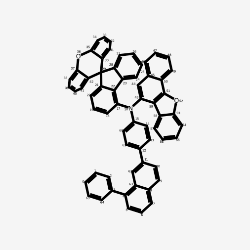 c1ccc(-c2cccc3ccc(-c4ccc(N(c5cccc6c5-c5ccccc5C65c6ccccc6Oc6ccccc65)c5cc6ccccc6c6oc7ccccc7c56)cc4)cc23)cc1